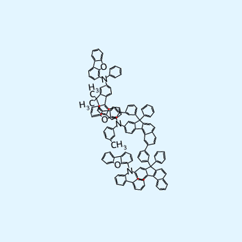 Cc1cccc(N(c2ccc3c(c2)C(c2ccccc2)(c2cccc(-c4ccc5ccc6c(c5c4)-c4ccc(N(c5ccccc5)c5cccc7c5oc5ccccc57)cc4C6(C)C)c2)c2ccc4ccc(-c5cccc(C6(c7ccccc7)c7cc(N(c8ccccc8-c8ccccc8)c8cccc9c8oc8ccccc89)ccc7-c7c6ccc6ccccc76)c5)cc4c2-3)c2cccc3c2oc2ccccc23)c1